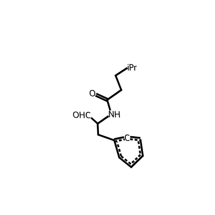 CC(C)CCC(=O)NC(C=O)Cc1ccccc1